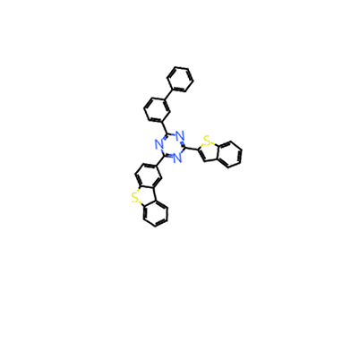 c1ccc(-c2cccc(-c3nc(-c4ccc5sc6ccccc6c5c4)nc(-c4cc5ccccc5s4)n3)c2)cc1